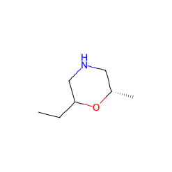 CCC1CNC[C@H](C)O1